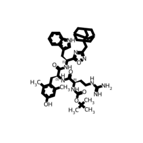 Cc1cc(O)cc(C)c1C[C@H](NC(=O)[C@@H](CCNC(=N)N)NC(=O)OC(C)(C)C)C(=O)N[C@@H](Cc1c[nH]c2ccccc12)c1nc(CC23CC4CC(CC(C4)C2)C3)no1